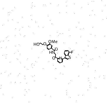 COc1cc(C(=O)NCC(=O)c2cccc(-c3csc4c(F)cccc34)n2)ccc1OCCO